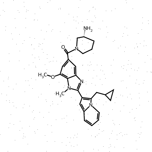 COc1cc(C(=O)N2CCC[C@@H](N)C2)cc2nc(-c3cc4ccccn4c3CC3CC3)n(C)c12